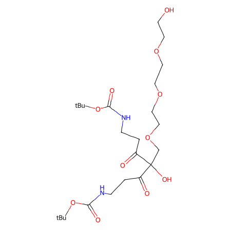 CC(C)(C)OC(=O)NCCC(=O)C(O)(COCCOCCOCCO)C(=O)CCNC(=O)OC(C)(C)C